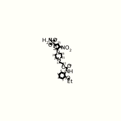 CCOc1ccccc1NC(=O)OCCN1CCN(c2sc(S(N)(=O)=O)cc2[N+](=O)[O-])CC1